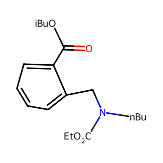 CCCCN(Cc1ccccc1C(=O)OCC(C)C)C(=O)OCC